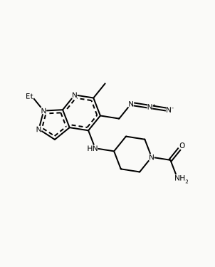 CCn1ncc2c(NC3CCN(C(N)=O)CC3)c(CN=[N+]=[N-])c(C)nc21